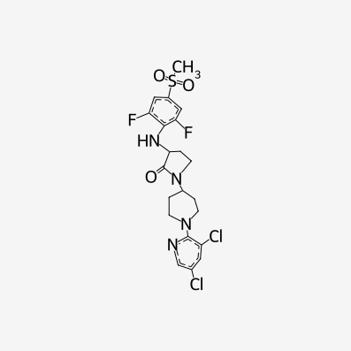 CS(=O)(=O)c1cc(F)c(NC2CCN(C3CCN(c4ncc(Cl)cc4Cl)CC3)C2=O)c(F)c1